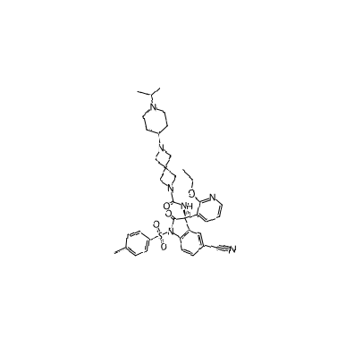 CCOc1ncccc1[C@@]1(NC(=O)N2CC3(C2)CN(C2CCN(C(C)C)CC2)C3)C(=O)N(S(=O)(=O)c2ccc(C)cc2)c2ccc(C#N)cc21